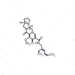 C=C/C(=C\C=C/C)CNC(=O)c1cn2c(c(OP)c1=O)C(=O)N1C[C@@H]3CCCN3[C@@H]1C2